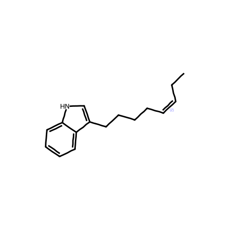 CC/C=C\CCCCc1c[nH]c2ccccc12